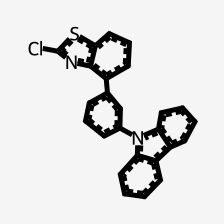 Clc1nc2c(-c3cccc(-n4c5ccccc5c5ccccc54)c3)cccc2s1